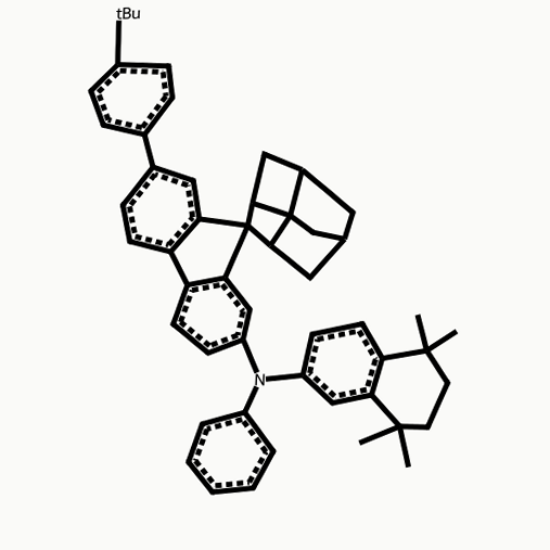 CC(C)(C)c1ccc(-c2ccc3c(c2)C2(c4cc(N(c5ccccc5)c5ccc6c(c5)C(C)(C)CCC6(C)C)ccc4-3)C3CC4CC5CC2C53C4)cc1